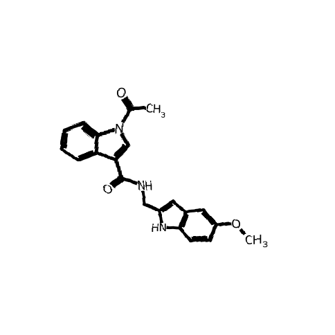 COc1ccc2[nH]c(CNC(=O)c3cn(C(C)=O)c4ccccc34)cc2c1